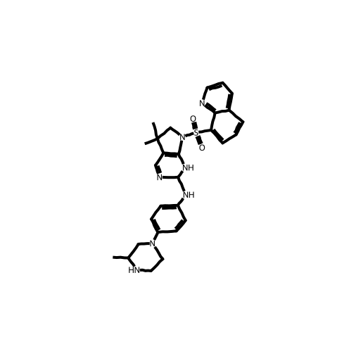 CC1CN(c2ccc(NC3N=CC4=C(N3)N(S(=O)(=O)c3cccc5cccnc35)CC4(C)C)cc2)CCN1